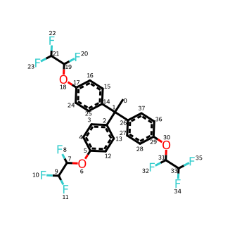 CC(c1ccc(OC(F)C(F)F)cc1)(c1ccc(OC(F)C(F)F)cc1)c1ccc(OC(F)C(F)F)cc1